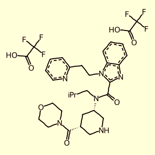 CC(C)CN(C(=O)c1nc2ccccc2n1CCc1ccccn1)[C@@H]1CNC[C@H](C(=O)N2CCOCC2)C1.O=C(O)C(F)(F)F.O=C(O)C(F)(F)F